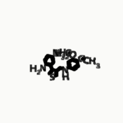 COc1ccc(NCc2cscc2-c2cc(N)ccc2N)cc1OC